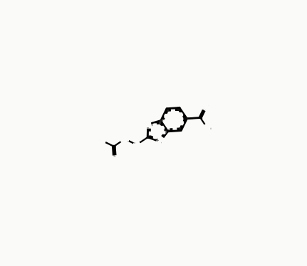 CC(=O)OSc1nc2cc(C(=O)O)ccc2s1